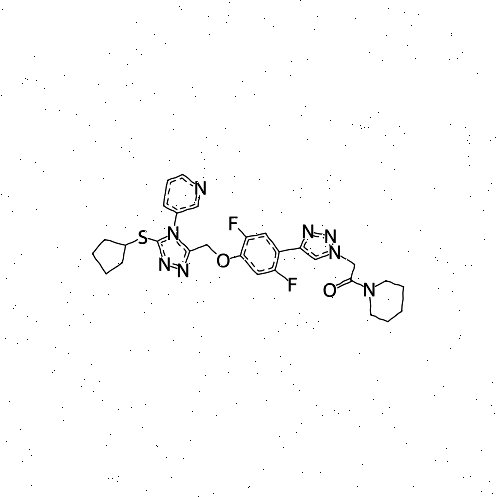 O=C(Cn1cc(-c2cc(F)c(OCc3nnc(SC4CCCC4)n3-c3cccnc3)cc2F)nn1)N1CCCCC1